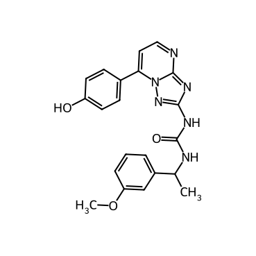 COc1cccc(C(C)NC(=O)Nc2nc3nccc(-c4ccc(O)cc4)n3n2)c1